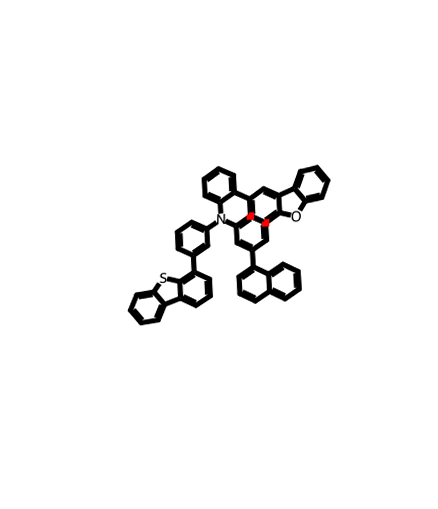 c1cc(-c2cccc3ccccc23)cc(N(c2cccc(-c3cccc4c3sc3ccccc34)c2)c2ccccc2-c2ccc3oc4ccccc4c3c2)c1